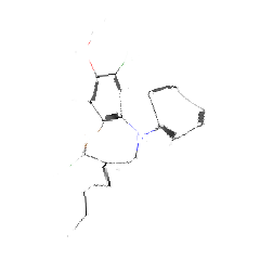 CCCCC1CN(c2ccccc2)c2cc(Br)c(OC)cc2SC1F